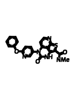 CNC(=O)c1sc2nccc3c2c1NC(=O)N3c1ccc(Oc2ccccc2)nc1